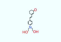 O=C1C=C(/C=C/c2ccc(N(CCO)CCO)cc2)CCC1